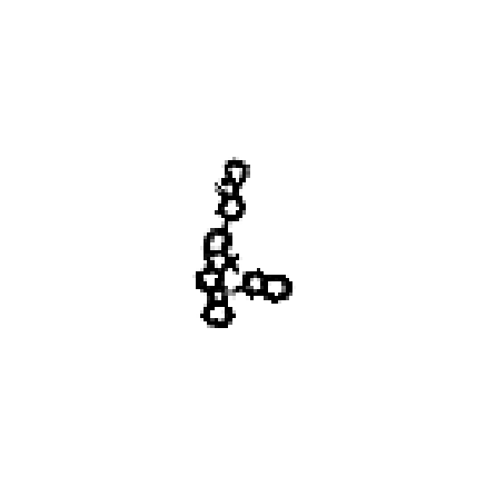 CC1(C)c2cc(-c3ccc4c(c3)sc3ccccc34)ccc2-c2ccc3c4ccccc4n(-c4ccc5ccccc5c4)c3c21